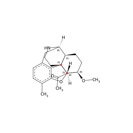 CO[C@]12CC[C@@]3(C[C@@H]1C(C)=O)[C@H]1Cc4ccc(C)c5c4[C@@]3(CCN1)[C@H]2O5